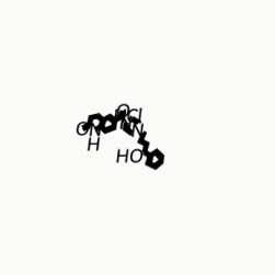 Cl.O=C1CCc2cc(C(=O)N3CCN(CCCC(O)c4ccccc4)CC3)ccc2N1